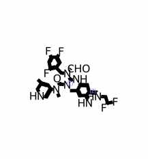 CC1=CC(N(C)C(=O)/N=C(/NC2=C/C(=C/NCC(F)F)C(=N)C=C2C)N(C=O)Cc2cc(F)c(F)cc2F)=CNC1